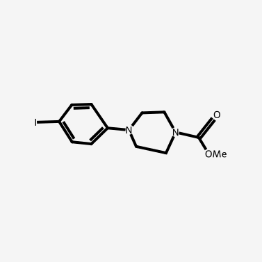 COC(=O)N1CCN(c2ccc(I)cc2)CC1